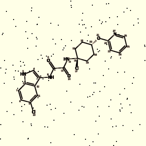 O=C(Nc1c[nH]c2ccc(Cl)cc12)C(=O)N[C@]1(Cl)CC[C@H](Oc2ccccn2)CC1